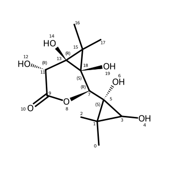 CC1(C)C(O)[C@]1(O)[C@H]1OC(=O)[C@H](O)[C@]2(O)C(C)(C)[C@]12O